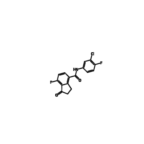 O=C(Nc1ccc(F)c(Cl)c1)c1ccc(F)c2c1CCC2=O